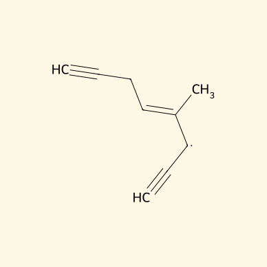 C#C[CH]C(C)=CCC#C